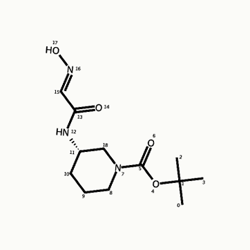 CC(C)(C)OC(=O)N1CCC[C@H](NC(=O)/C=N/O)C1